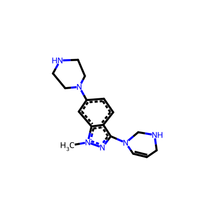 Cn1nc(N2C=CCNC2)c2ccc(N3CCNCC3)cc21